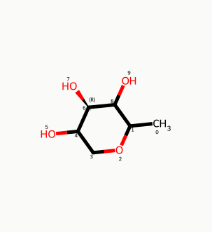 CC1OCC(O)[C@@H](O)C1O